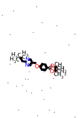 CC(C)(C)Cc1ncc(COc2ccc(B3OC(C)(C)C(C)(C)O3)cc2)cn1